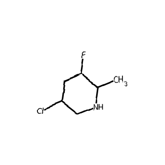 CC1NCC(Cl)CC1F